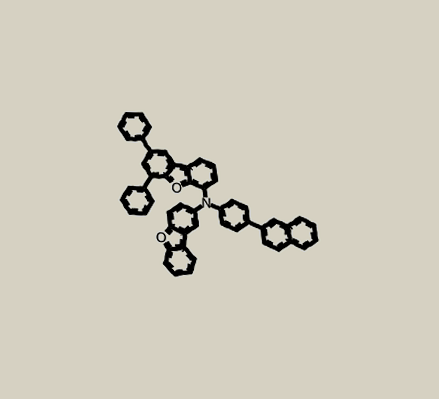 c1ccc(-c2cc(-c3ccccc3)c3oc4c(N(c5ccc(-c6ccc7ccccc7c6)cc5)c5ccc6oc7ccccc7c6c5)cccc4c3c2)cc1